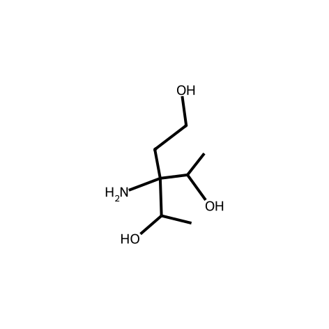 CC(O)C(N)(CCO)C(C)O